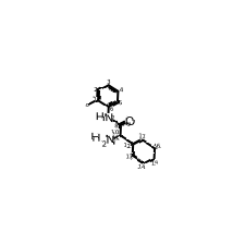 Cc1ccccc1NC(=O)[C@H](N)C1CCCCC1